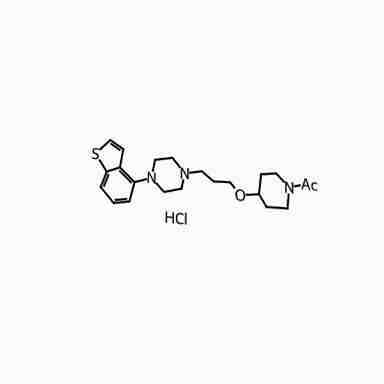 CC(=O)N1CCC(OCCCN2CCN(c3cccc4sccc34)CC2)CC1.Cl